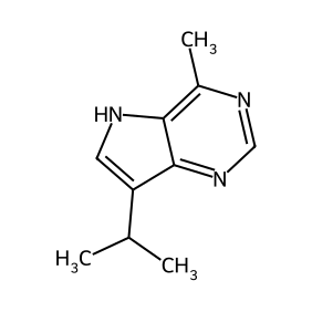 Cc1ncnc2c(C(C)C)c[nH]c12